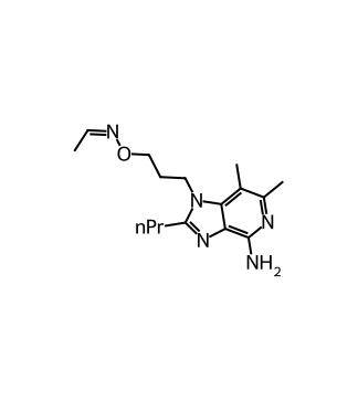 C/C=N\OCCCn1c(CCC)nc2c(N)nc(C)c(C)c21